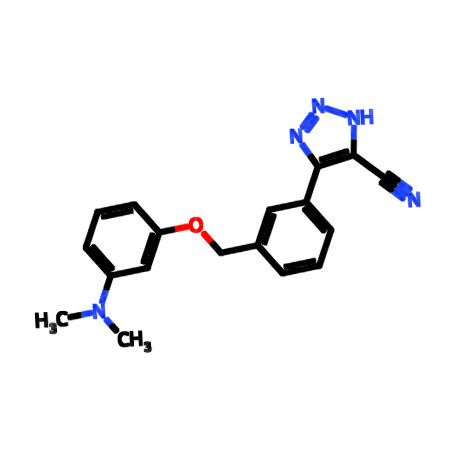 CN(C)c1cccc(OCc2cccc(-c3nn[nH]c3C#N)c2)c1